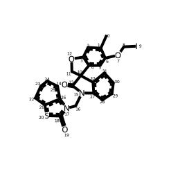 Cc1cc2c(cc1OCI)C1(CO2)C(=O)N(Cn2c(=O)sc3ccccc32)c2ccccc21